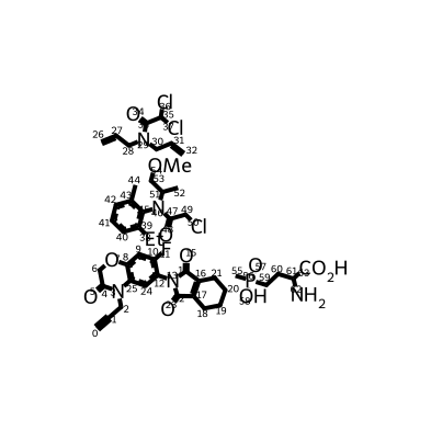 C#CCN1C(=O)COc2cc(F)c(N3C(=O)C4=C(CCCC4)C3=O)cc21.C=CCN(CC=C)C(=O)C(Cl)Cl.CCc1cccc(C)c1N(C(=O)CCl)C(C)COC.CP(=O)(O)CCC(N)C(=O)O